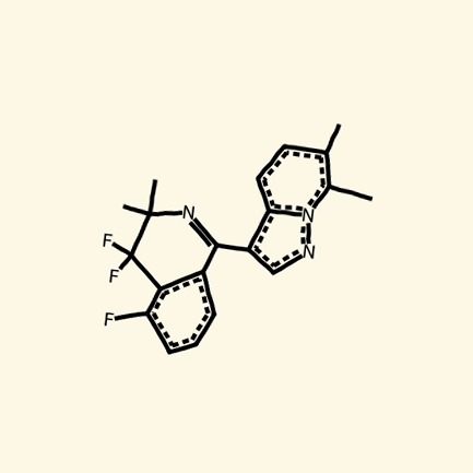 Cc1ccc2c(C3=NC(C)(C)C(F)(F)c4c(F)cccc43)cnn2c1C